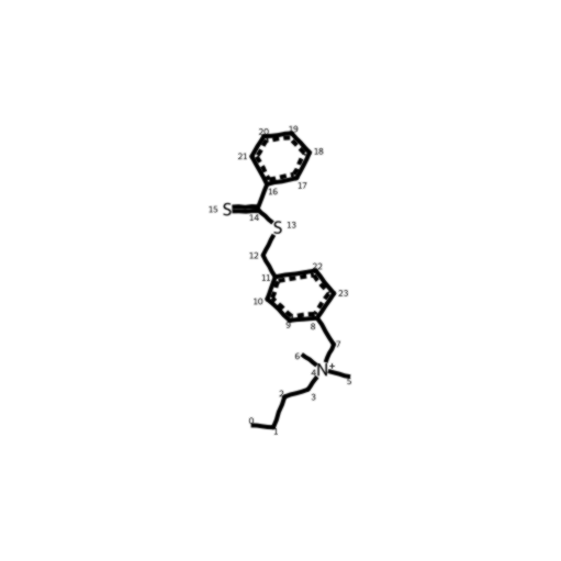 CCCC[N+](C)(C)Cc1ccc(CSC(=S)c2ccccc2)cc1